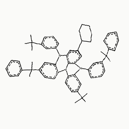 CC(C)(C)c1cccc(N2c3cc(C(C)(C)c4ccccc4)ccc3B3c4ccc(C(C)(C)C)cc4N(c4cccc(C(C)(C)c5ccccc5)c4)c4cc(C5CCCCC5)cc2c43)c1